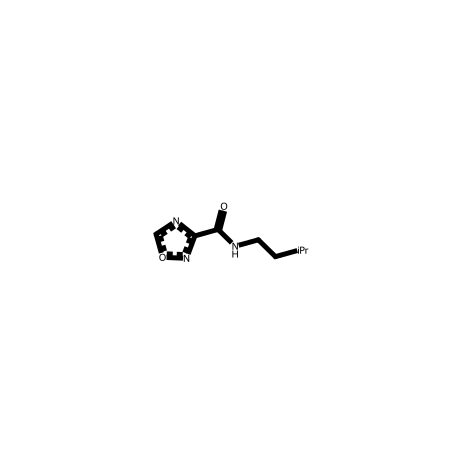 CC(C)CCNC(=O)c1ncon1